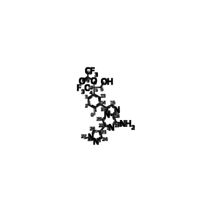 Cc1ccc(C(CO)(OC(=O)C(F)(F)F)C(F)(F)F)cc1-c1cnc2c(N)nc(-c3cnn(C)c3)cn12